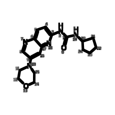 O=C(Nc1ccc2ncc(N3CCOCC3)cc2n1)NC1CCCC1